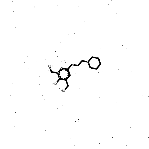 OCc1cc(CCCC2CCCCC2)cc(CO)c1O